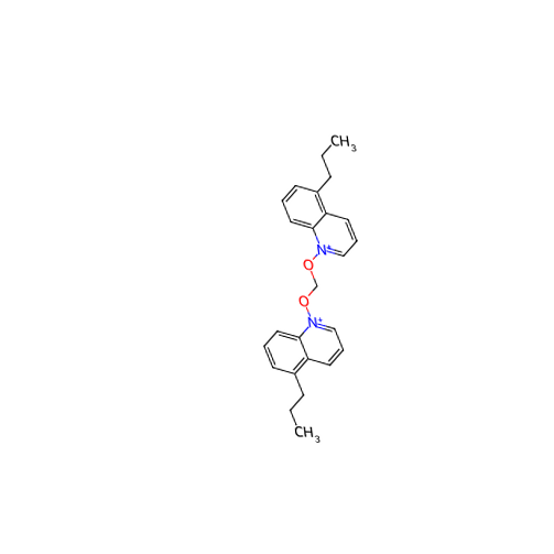 CCCc1cccc2c1ccc[n+]2OCO[n+]1cccc2c(CCC)cccc21